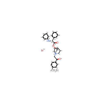 CCOC(=O)c1ccc(C(=O)C[N+]23CCC(CC2)C(OC(=O)[C@H](Nc2ccccc2)c2ccccc2)C3)cc1.[Br-]